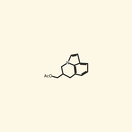 CC(=O)OCC1Cc2cccc3ccn(c23)C1